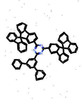 c1ccc(-c2cc(-c3ccccc3)cc(-c3nc(-c4ccc5c(c4)-c4ccccc4C54c5ccccc5-c5ccccc54)nc(-c4ccc5c(c4)C4(c6ccccc6-c6ccccc64)c4ccccc4-5)n3)c2)cc1